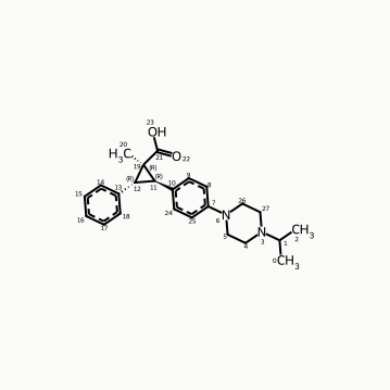 CC(C)N1CCN(c2ccc([C@H]3[C@H](c4ccccc4)[C@@]3(C)C(=O)O)cc2)CC1